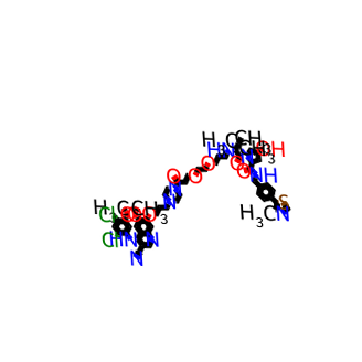 COc1cc(Nc2c(C#N)cnc3cc(OCCCN4CCN(C(=O)CCOCCOCCCNC(C(=O)N5CC(O)CC5C(=O)NCc5ccc(-c6scnc6C)cc5)C(C)(C)C)CC4)c(OC)cc23)c(Cl)cc1Cl